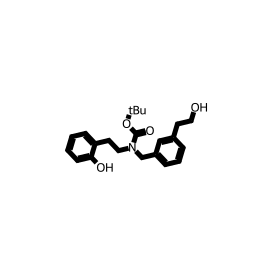 CC(C)(C)OC(=O)N(CCc1ccccc1O)Cc1cccc(CCO)c1